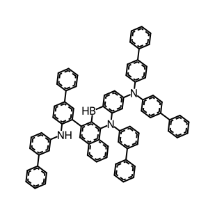 B1c2ccc(N(c3ccc(-c4ccccc4)cc3)c3ccc(-c4ccccc4)cc3)cc2N(c2cccc(-c3ccccc3)c2)c2c1c(-c1cc(-c3ccccc3)ccc1Nc1cccc(-c3ccccc3)c1)cc1ccccc21